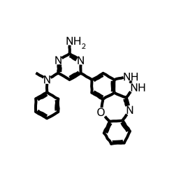 CN(c1ccccc1)c1cc(-c2cc3c4c(c2)Oc2ccccc2N=C4NN3)nc(N)n1